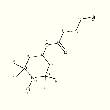 CC1(C)CC(OC(=O)CCCBr)CC(C)(C)N1[O]